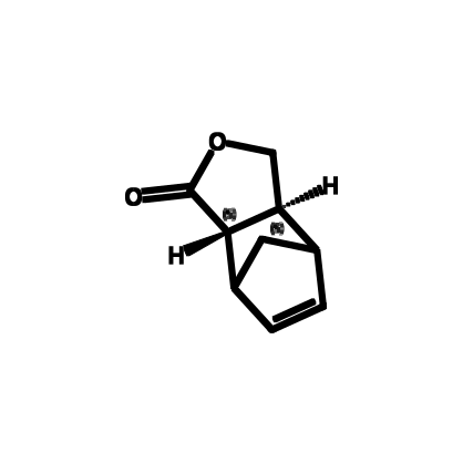 O=C1OC[C@H]2C3C=CC(C3)[C@H]12